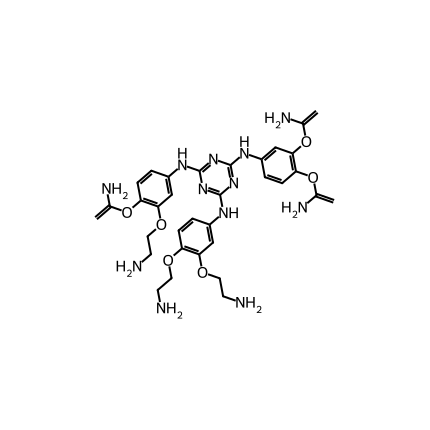 C=C(N)Oc1ccc(Nc2nc(Nc3ccc(OCCN)c(OCCN)c3)nc(Nc3ccc(OC(=C)N)c(OC(=C)N)c3)n2)cc1OCCN